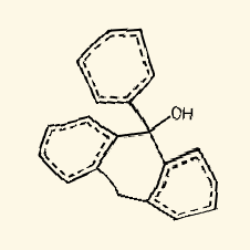 OC1(c2ccccc2)c2ccccc2Cc2ccccc21